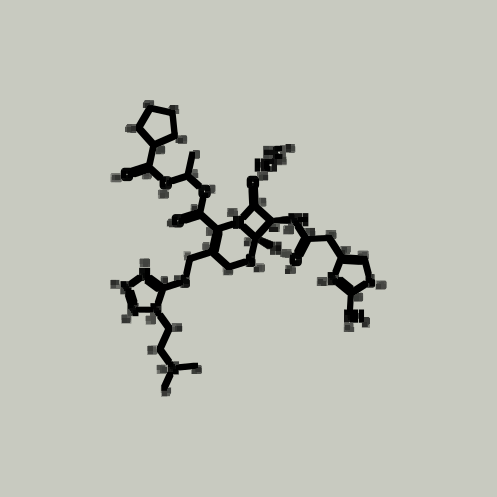 CC(OC(=O)C1=C(CSc2nnnn2CCN(C)C)CS[C@H]2[C@H](NC(=O)Cc3csc(N)n3)C(=O)N12)OC(=O)C1CCCC1.Cl.Cl